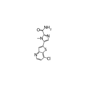 Cn1c(-c2cc3nccc(Cl)c3s2)cnc1C(N)=O